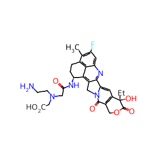 CC[C@@]1(O)C(=O)OCc2c1cc1n(c2=O)Cc2c-1nc1cc(F)c(C)c3c1c2[C@@H](NC(=O)CN(CCN)CC(=O)O)CC3